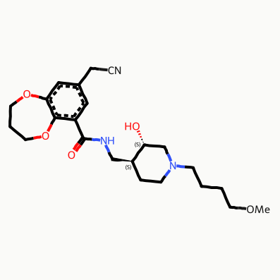 COCCCCN1CC[C@@H](CNC(=O)c2cc(CC#N)cc3c2OCCCO3)[C@H](O)C1